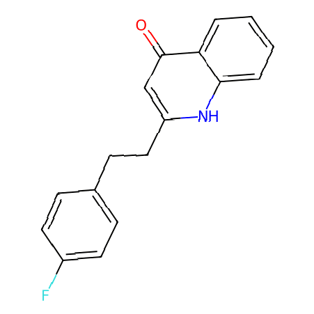 O=c1cc(CCc2ccc(F)cc2)[nH]c2ccccc12